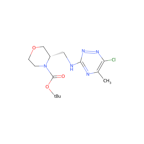 Cc1nc(NC[C@H]2COCCN2C(=O)OC(C)(C)C)nnc1Cl